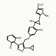 CC(C)n1nc(C(=O)O)cc1C1CC1(C#N)c1ccc(OCc2c(-c3c(Cl)cccc3Cl)noc2C2CC2)cc1Cl